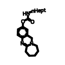 CCCCCCCNC(=O)Oc1ccc2c(c1)CN1CCCCCC1=N2